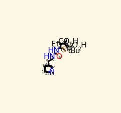 CCC1(C(=O)O)C(NC(=O)NCCc2cccnc2)SC(C(=O)O)(C(C)(C)C)C1C